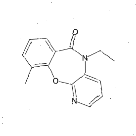 CCN1C(=O)c2cccc(C)c2Oc2ncccc21